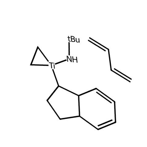 C=CC=C.CC(C)(C)[NH][Ti]1([CH]2CCC3C=CC=CC32)[CH2][CH2]1